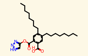 CCCCCCCCc1cc(C(=O)O)c(C(=O)Oc2c[nH]nn2)cc1CCCCCCCC